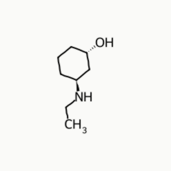 CCN[C@H]1CCC[C@H](O)C1